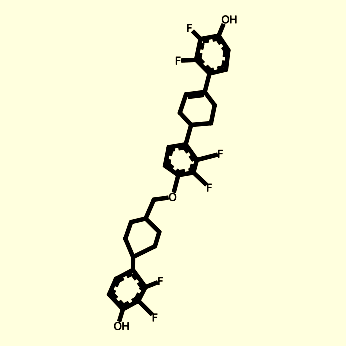 Oc1ccc(C2=CCC(c3ccc(OCC4CCC(c5ccc(O)c(F)c5F)CC4)c(F)c3F)CC2)c(F)c1F